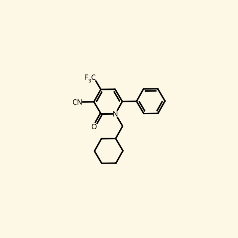 [C-]#[N+]c1c(C(F)(F)F)cc(-c2ccccc2)n(CC2CCCCC2)c1=O